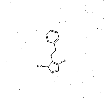 Cn1ncc(Br)c1OCc1ccccc1